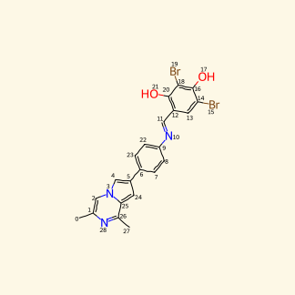 Cc1cn2cc(-c3ccc(/N=C/c4cc(Br)c(O)c(Br)c4O)cc3)cc2c(C)n1